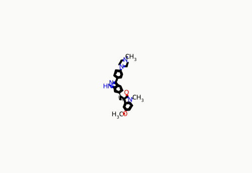 COc1ccc2c(c1)[C@]1(C[C@H]1c1ccc3c(-c4ccc(N5CCN(C)CC5)cc4)n[nH]c3c1)C(=O)N2C